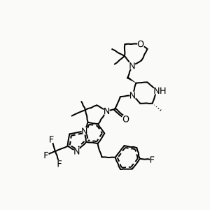 C[C@@H]1CN(CC(=O)N2CC(C)(C)c3c2cc(Cc2ccc(F)cc2)c2nc(C(F)(F)F)cn32)[C@@H](CN2CCOCC2(C)C)CN1